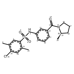 Cc1cc(S(=O)(=O)Nc2cccc(C(=O)N3CCC[C@H]3C)c2)c(C)cc1Cl